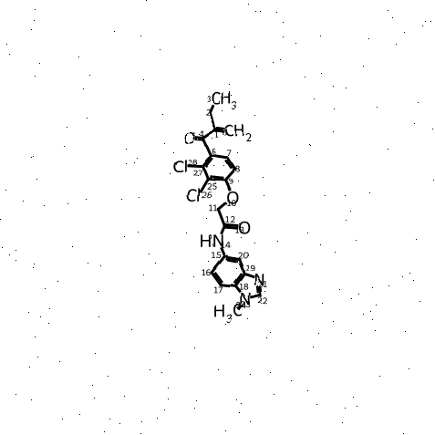 C=C(CC)C(=O)c1ccc(OCC(=O)Nc2ccc3c(c2)ncn3C)c(Cl)c1Cl